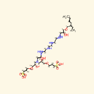 CCCCC(CC)COCC(O)CNCCNCCNCCNCCN(CC(O)COCCCS(=O)(=O)O)CC(O)COCCCS(=O)(=O)O